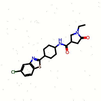 CCN1CC(C(=O)NC2CCC(c3nc4cc(Cl)ccc4s3)CC2)CC1=O